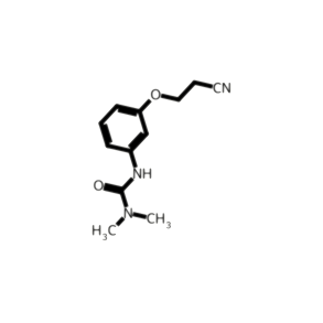 CN(C)C(=O)Nc1cccc(OCCC#N)c1